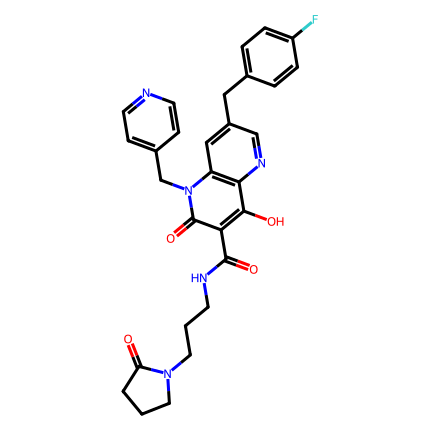 O=C(NCCCN1CCCC1=O)c1c(O)c2ncc(Cc3ccc(F)cc3)cc2n(Cc2ccncc2)c1=O